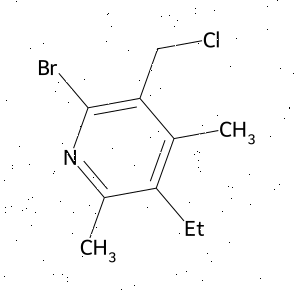 CCc1c(C)nc(Br)c(CCl)c1C